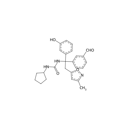 Cc1cc(CC(NC(=O)NC2CCCC2)(c2cccc(O)c2)c2cccc(C=O)c2)on1